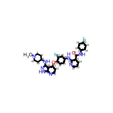 CN1CCC(Nc2n[nH]c3nccc(Oc4ccc(Nc5ncccc5C(=O)Nc5ccc(F)cc5)cc4F)c23)CC1